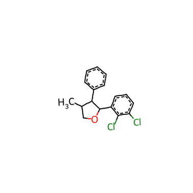 CC1COC(c2cccc(Cl)c2Cl)C1c1ccccc1